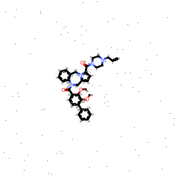 C=CCN1CCN(C(=O)c2ccc3n2Cc2ccccc2N(C(=O)c2ccc(-c4ccccc4)c(OC)c2OC)C3)CC1